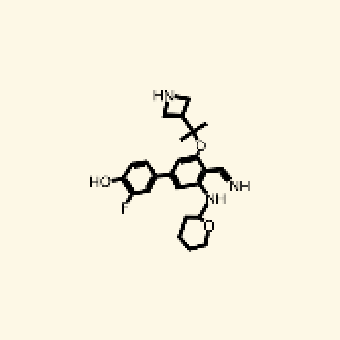 CC(C)(Oc1cc(-c2ccc(O)c(F)c2)cc(NC2CCCCO2)c1C=N)C1CNC1